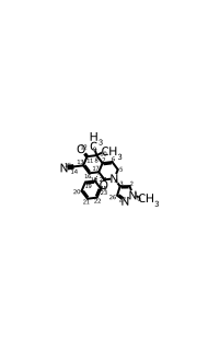 Cn1cc(N2CC=C3C(C)(C)C(=O)C(C#N)=C[C@]3(c3ccccc3)C2=O)cn1